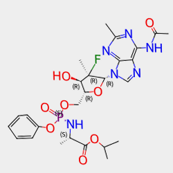 CC(=O)Nc1nc(C)nc2c1ncn2[C@@H]1O[C@H](CO[P@@](=O)(N[C@@H](C)C(=O)OC(C)C)Oc2ccccc2)[C@@H](O)[C@@]1(C)F